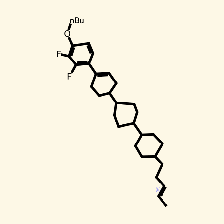 C/C=C/CCC1CCC(C2CCC(C3CC=C(c4ccc(OCCCC)c(F)c4F)CC3)CC2)CC1